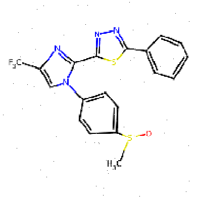 C[S+]([O-])c1ccc(-n2cc(C(F)(F)F)nc2-c2nnc(-c3ccccc3)s2)cc1